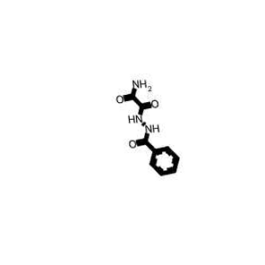 NC(=O)C(=O)NNC(=O)c1ccccc1